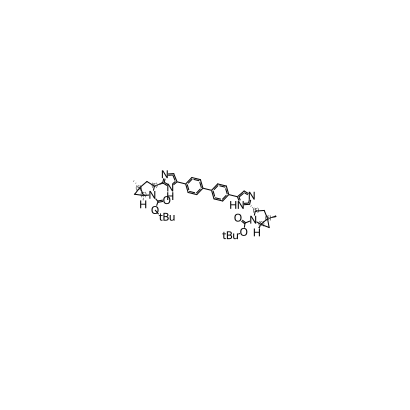 CC(C)(C)OC(=O)N1[C@H]2C[C@@]2(C)C[C@H]1c1ncc(-c2ccc(-c3ccc(-c4cnc([C@@H]5C[C@]6(C)C[C@@H]6N5C(=O)OC(C)(C)C)[nH]4)cc3)cc2)[nH]1